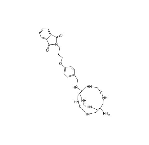 NC12CNCCNCC(NCc3ccc(OCCCN4C(=O)c5ccccc5C4=O)cc3)(CNCCNC1)CNCCNC2